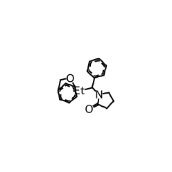 CCC(c1ccccc1)N1CCCC1=O.c1cc2cc(c1)OC2